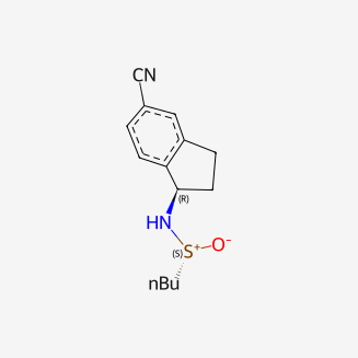 CCCC[S@@+]([O-])N[C@@H]1CCc2cc(C#N)ccc21